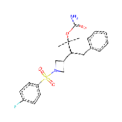 CC(C)(OC(N)=O)C(Cc1ccccc1)C1CN(S(=O)(=O)c2ccc(F)cc2)C1